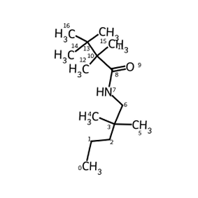 CCCC(C)(C)CNC(=O)C(C)(C)C(C)(C)C